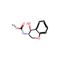 CC(C)(C)OC(=O)N[C@@H]1COc2ccccc2[C@@H]1O